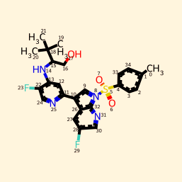 Cc1ccc(S(=O)(=O)n2cc(-c3cc(NC(CO)C(C)(C)C)c(F)cn3)c3cc(F)cnc32)cc1